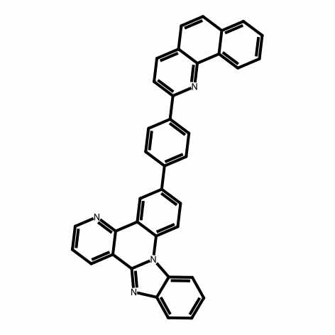 c1ccc2c(c1)ccc1ccc(-c3ccc(-c4ccc5c(c4)c4ncccc4c4nc6ccccc6n54)cc3)nc12